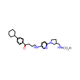 O=C(O)NCC1CCN(c2ccc(NCCCC(=O)c3ccc(C4CCCCC4)cc3)cn2)C1